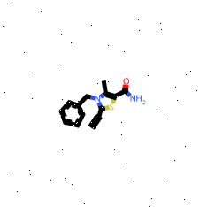 C#CC1SC(C(N)=O)=C(C)N1Cc1ccccc1